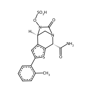 Cc1ccccc1-c1cc2c(s1)[C@@H](C(N)=O)N1C[C@@H]2N(OS(=O)(=O)O)C1=O